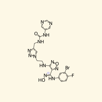 O=C(NCc1cn(CCNc2nonc2/C(=N/O)Nc2ccc(F)c(Br)c2)nn1)Nc1cncnc1